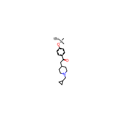 CC(C)(C)[Si](C)(C)Oc1ccc(C(=O)CC2CCN(CC3CC3)CC2)cc1